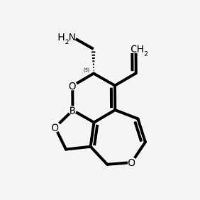 C=CC1=C2C=COCC3=C2B(OC3)O[C@@H]1CN